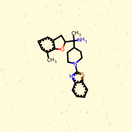 Cc1cccc2c1OC(C(C)(N)C1CCN(c3nc4ccccc4s3)CC1)C2